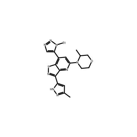 CCn1nncc1-c1cc(N2CCOCC2C)nc2c(-c3cc(C)n[nH]3)nsc12